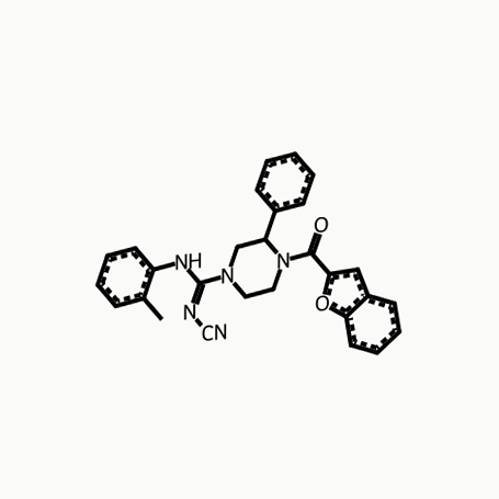 Cc1ccccc1N/C(=N/C#N)N1CCN(C(=O)c2cc3ccccc3o2)C(c2ccccc2)C1